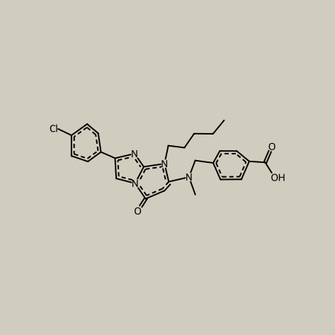 CCCCCn1c(N(C)Cc2ccc(C(=O)O)cc2)cc(=O)n2cc(-c3ccc(Cl)cc3)nc12